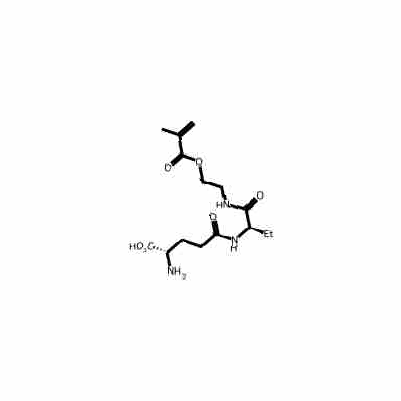 C=C(C)C(=O)OCCNC(=O)[C@@H](CC)NC(=O)CC[C@H](N)C(=O)O